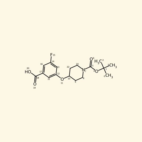 CC(C)(C)OC(=O)N1CCC(Oc2cc(F)cc(C(=O)O)c2)CC1